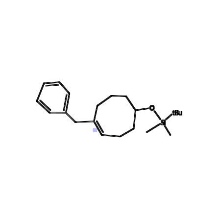 CC(C)(C)[Si](C)(C)OC1CC/C=C(/Cc2ccccc2)CCC1